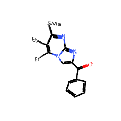 CCc1c(SC)nc2nc(C(=O)c3ccccc3)cn2c1CC